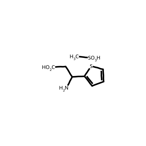 CS(=O)(=O)O.NC(CC(=O)O)c1cccs1